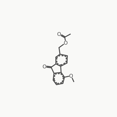 COc1cccc2c1-c1ccc(COC(C)=O)cc1C2=O